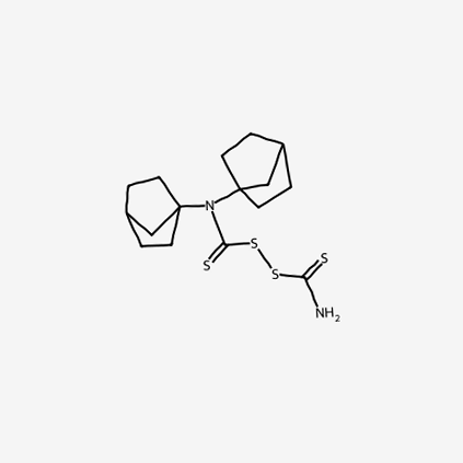 NC(=S)SSC(=S)N(C12CCC(CC1)C2)C12CCC(CC1)C2